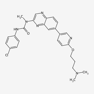 CN(C)CCCOc1ccc(-c2ccc3ncc(N(C)C(=O)Nc4ccc(Cl)cc4)nc3c2)cn1